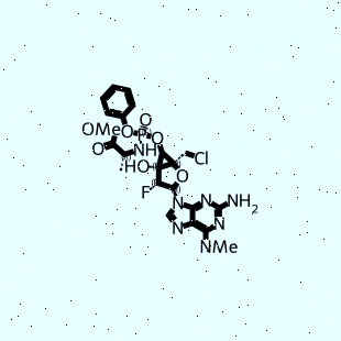 CNc1nc(N)nc2c1ncn2[C@@H]1O[C@]2(CCl)C(O[P@@](=O)(N[C@H](C)C(=O)OC)Oc3ccccc3)[C@]2(O)[C@H]1F